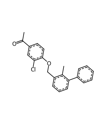 CC(=O)c1ccc(OCc2cccc(-c3ccccc3)c2C)c(Cl)c1